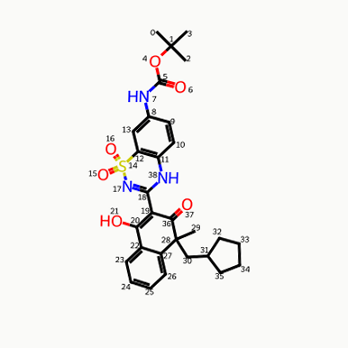 CC(C)(C)OC(=O)Nc1ccc2c(c1)S(=O)(=O)N=C(C1=C(O)c3ccccc3C(C)(CC3CCCC3)C1=O)N2